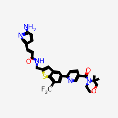 CC1(C)COCCN1C(=O)c1ccc(-c2cc(C(F)(F)F)c3sc(CNC(=O)/C=C/c4ccc(N)nc4)cc3c2)nc1